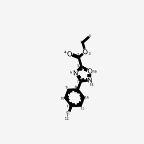 CCOC(=O)c1nc(-c2ccc(F)cc2)no1